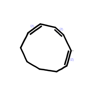 [C]1=C/CCCC\C=C/C=C\1